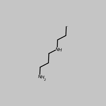 [CH2]CCNCCCN